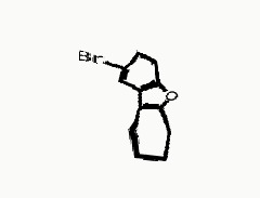 Brc1[c]cc2oc3c(c2c1)CCCC3